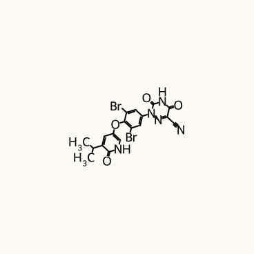 CC(C)c1cc(Oc2c(Br)cc(-n3nc(C#N)c(=O)[nH]c3=O)cc2Br)c[nH]c1=O